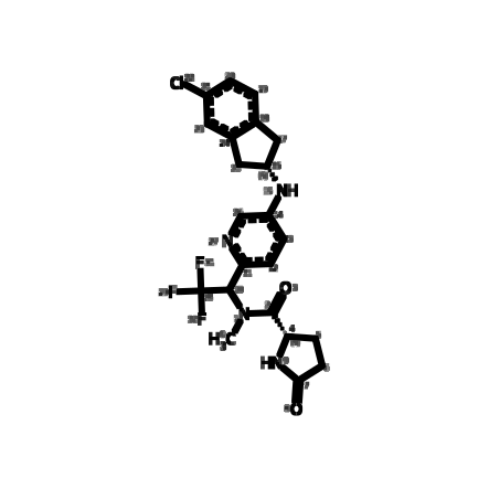 CN(C(=O)[C@@H]1CCC(=O)N1)C(c1ccc(N[C@H]2Cc3ccc(Cl)cc3C2)cn1)C(F)(F)F